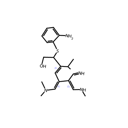 CN/C=C(C=N)/C(=C/N(C)C)/C=C(\C(C)C)C(CO)Sc1ccccc1N